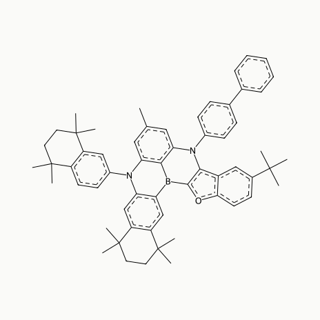 Cc1cc2c3c(c1)N(c1ccc(-c4ccccc4)cc1)c1c(oc4ccc(C(C)(C)C)cc14)B3c1cc3c(cc1N2c1ccc2c(c1)C(C)(C)CCC2(C)C)C(C)(C)CCC3(C)C